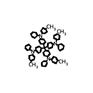 Cc1ccc(N(c2ccccc2)c2ccc(C(c3ccc(N(c4ccccc4)c4ccc(C)cc4)cc3)(c3ccc(N(c4ccccc4)c4ccc(C)cc4)cc3)c3ccc(N(c4ccccc4)c4ccc(C)cc4)cc3)cc2)cc1